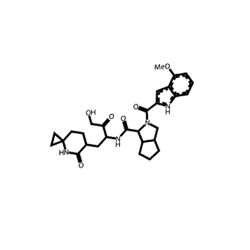 COc1cccc2[nH]c(C(=O)N3CC4CCCC4C3C(=O)NC(CC3CCC4(CC4)NC3=O)C(=O)CO)cc12